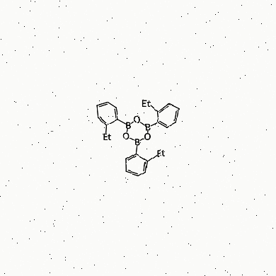 CCc1ccccc1B1OB(c2ccccc2CC)OB(c2ccccc2CC)O1